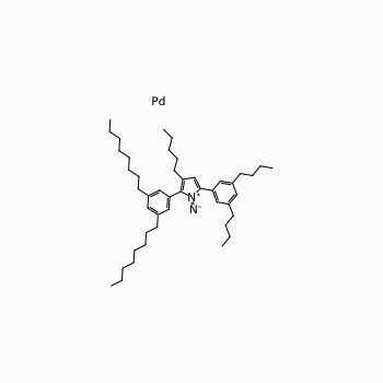 CCCCCCCCc1cc(CCCCCCCC)cc(C2=C(CCCCC)C=C(c3cc(CCCC)cc(CCCC)c3)[N+]2=[N-])c1.[Pd]